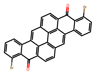 O=c1c2ccc3cc4c5cccc(Br)c5c(=O)c5ccc6cc(c7cccc(Br)c17)c2c3c6c54